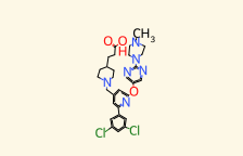 CN1CCN(c2ncc(Oc3cc(CN4CCC(CCC(=O)O)CC4)cc(-c4cc(Cl)cc(Cl)c4)n3)cn2)CC1